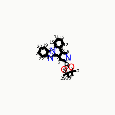 CC1(C)OB(c2cc3c(cn2)c2ccccc2n2c4ccccc4nc32)OC1(C)C